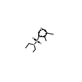 CCN(CC)S(=O)(=O)c1cncc(Br)c1C